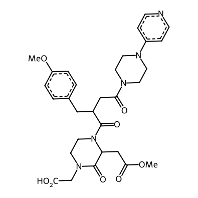 COC(=O)CC1C(=O)N(CC(=O)O)CCN1C(=O)C(CC(=O)N1CCN(c2ccncc2)CC1)Cc1ccc(OC)cc1